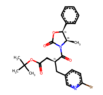 C[C@@H]1[C@H](c2ccccc2)OC(=O)N1C(=O)[C@H](CC(=O)OC(C)(C)C)Cc1ccc(Br)nc1